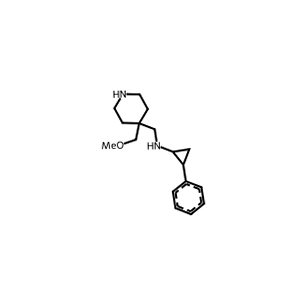 COCC1(CNC2CC2c2ccccc2)CCNCC1